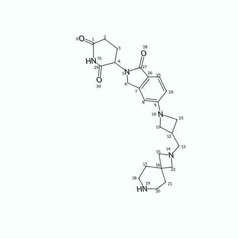 O=C1CCC(N2Cc3cc(N4CC(CN5CC6(CCNCC6)C5)C4)ccc3C2=O)C(=O)N1